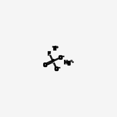 O=P([O-])([O-])F.[Hg+].[Tl+]